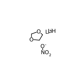 C1COCO1.O=[N+]([O-])[O-].[Li+].[LiH]